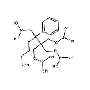 CCCCCCCCCCCCCC(OP(O)O)(c1ccccc1)C(COP(O)O)(COP(O)O)COP(O)O